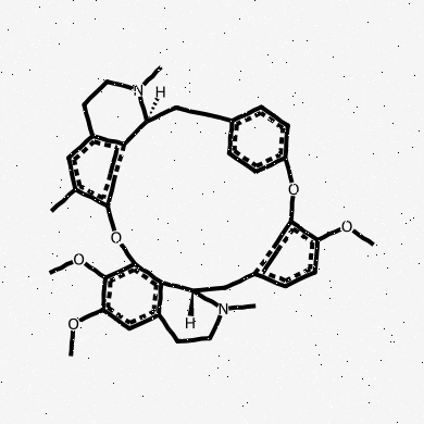 COc1ccc2cc1Oc1ccc(cc1)C[C@H]1c3cc(c(C)cc3CCN1C)Oc1c(OC)c(OC)cc3c1[C@H](C2)N(C)CC3